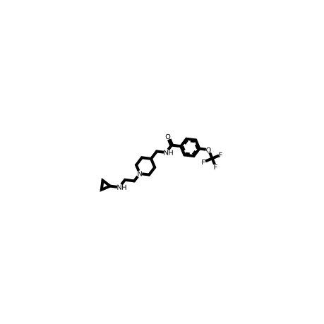 O=C(NCC1CCN(CCNC2CC2)CC1)c1ccc(OC(F)(F)F)cc1